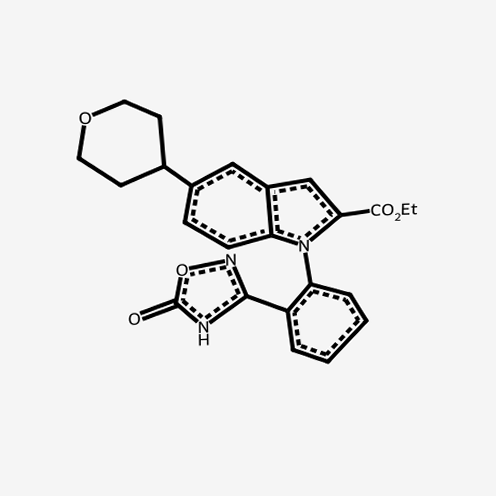 CCOC(=O)c1cc2cc(C3CCOCC3)ccc2n1-c1ccccc1-c1noc(=O)[nH]1